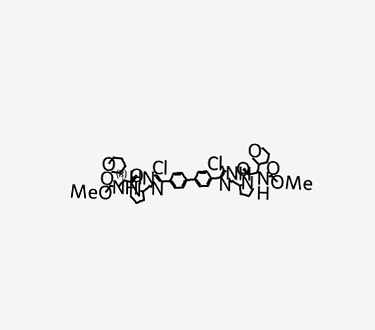 COC(=O)NC(C(=O)N1CCCC1c1nc(-c2ccc(-c3ccc(-c4nc(C5CCCN5C(=O)C(NC(=O)OC)[C@H]5CCCOC5)[nH]c4Cl)cc3)cc2)c(Cl)[nH]1)C1CCCOC1